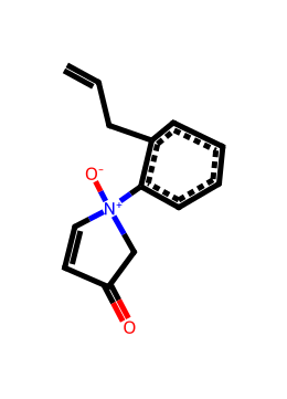 C=CCc1ccccc1[N+]1([O-])C=CC(=O)C1